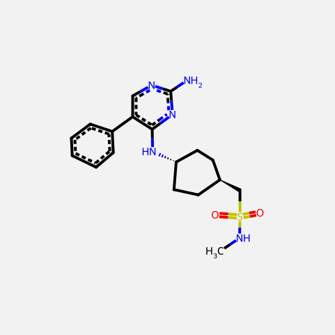 CNS(=O)(=O)C[C@H]1CC[C@H](Nc2nc(N)ncc2-c2ccccc2)CC1